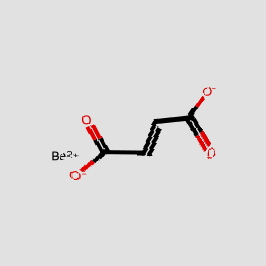 O=C([O-])C=CC(=O)[O-].[Be+2]